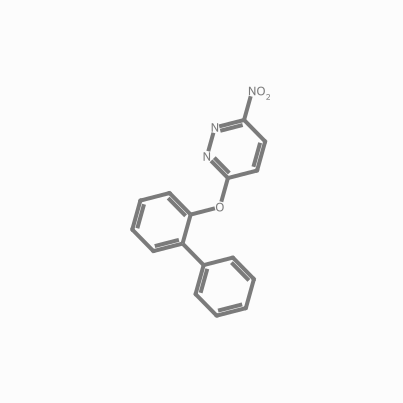 O=[N+]([O-])c1ccc(Oc2ccccc2-c2ccccc2)nn1